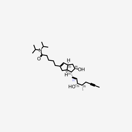 CC#CC[C@H](C)[C@H](O)/C=C/[C@@H]1[C@H]2CC(CCCCC(=O)N(C(C)C)C(C)C)=C[C@H]2C[C@H]1O